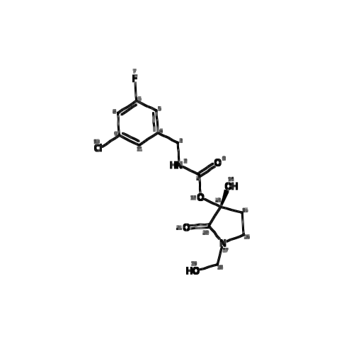 O=C(NCc1cc(F)cc(Cl)c1)O[C@]1(O)CCN(CO)C1=O